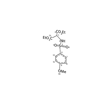 CCOC(=O)C(NS(=O)(=O)c1ccc(OC)cc1)C(=O)OCC